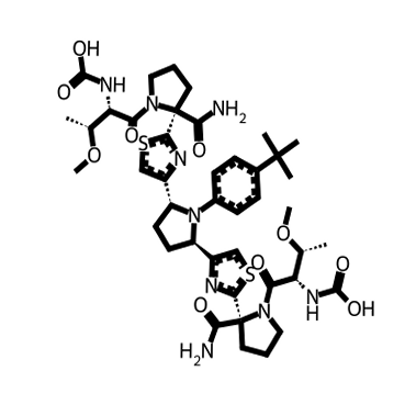 CO[C@H](C)[C@H](NC(=O)O)C(=O)N1CCC[C@]1(C(N)=O)c1nc([C@H]2CC[C@H](c3csc([C@@]4(C(N)=O)CCCN4C(=O)[C@@H](NC(=O)O)[C@@H](C)OC)n3)N2c2ccc(C(C)(C)C)cc2)cs1